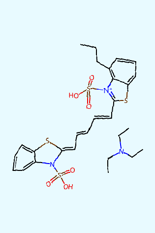 CCCc1cccc2sc(C=CC=CC=C3Sc4ccccc4N3S(=O)(=O)O)[n+](S(=O)(=O)O)c12.CCN(CC)CC